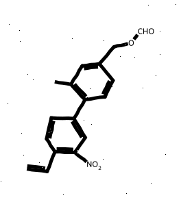 C=Cc1ccc(-c2ccc(COC=O)cc2C)cc1[N+](=O)[O-]